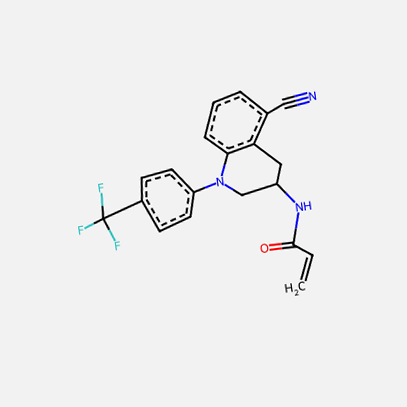 C=CC(=O)NC1Cc2c(C#N)cccc2N(c2ccc(C(F)(F)F)cc2)C1